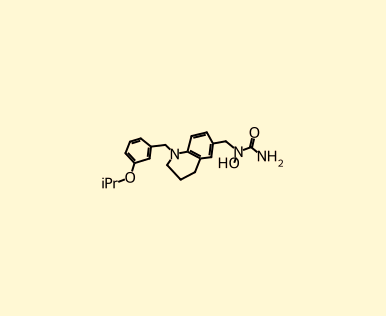 CC(C)Oc1cccc(CN2CCCc3cc(CN(O)C(N)=O)ccc32)c1